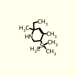 CCC1(C)C=C(C)C([Si](C)(C)C)CN1